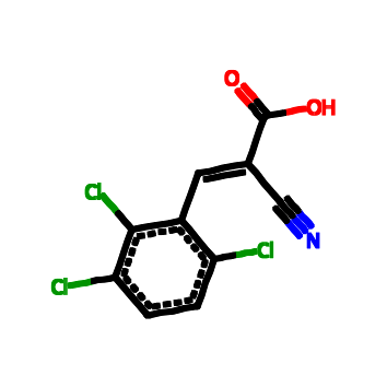 N#CC(=Cc1c(Cl)ccc(Cl)c1Cl)C(=O)O